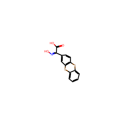 O=C(O)C(=NO)c1ccc2c(c1)Sc1ccccc1S2